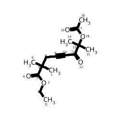 CCOC(=O)C(C)(C)CC#CC(=O)C(C)(C)OC(C)=O